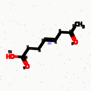 CC(=O)C/C=C/CCC(=O)O